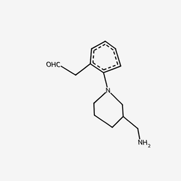 NCC1CCCN(c2ccccc2CC=O)C1